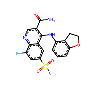 CS(=O)(=O)c1cc(F)c2ncc(C(N)=O)c(Nc3cccc4c3CCO4)c2c1